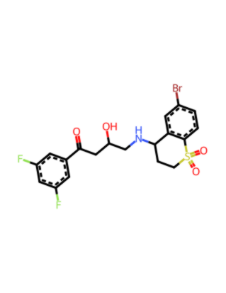 O=C(CC(O)CNC1CCS(=O)(=O)c2ccc(Br)cc21)c1cc(F)cc(F)c1